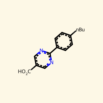 CCCCc1ccc(-c2ncc(C(=O)O)cn2)cc1